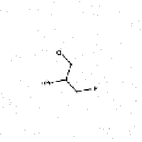 [CH2]CCCC(CCl)CCC